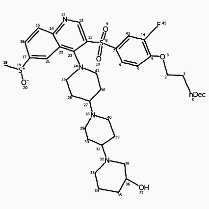 CCCCCCCCCCCCOc1ccc(S(=O)(=O)c2cnc3ccc([S+](C)[O-])cc3c2N2CCC(N3CCC(N4CCCC(O)C4)CC3)CC2)cc1F